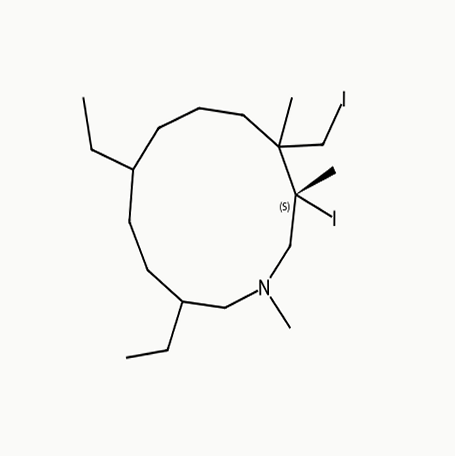 CCC1CCCC(C)(CI)[C@](C)(I)CN(C)CC(CC)CC1